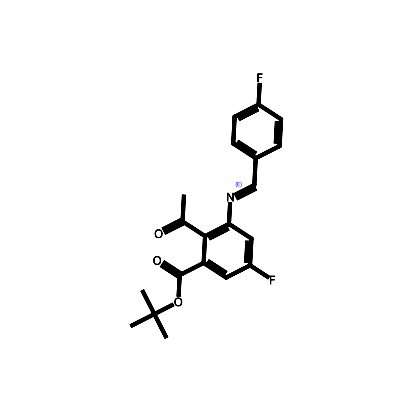 CC(=O)c1c(/N=C/c2ccc(F)cc2)cc(F)cc1C(=O)OC(C)(C)C